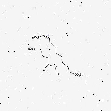 CCCCCCCC/C=C\CCCCCCCC(=O)OCC.CCCCCCCCCCCCCC(=O)OC(C)C